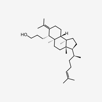 CC(C)=CCC[C@H](C)[C@@H]1CC[C@]2(C)[C@H]3CCC(=C(C)C)[C@@H](CCCO)[C@]3(C)CC[C@@]12C